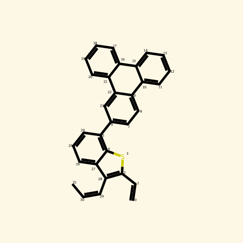 C=Cc1sc2c(-c3ccc4c5ccccc5c5ccccc5c4c3)cccc2c1/C=C\C